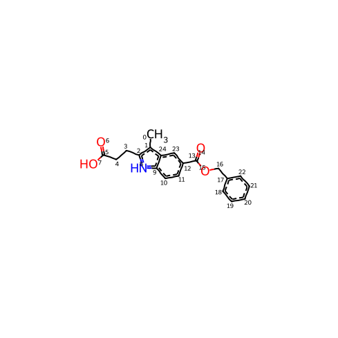 Cc1c(CCC(=O)O)[nH]c2ccc(C(=O)OCc3ccccc3)cc12